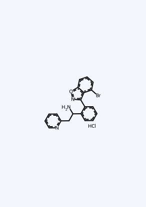 Cl.NC(Cc1ccccn1)c1ccccc1-c1noc2cccc(Br)c12